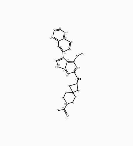 COc1nc(NC2CC3(CCN(C(C)=O)CC3)C2)nc2[nH]cc(-c3ccc4nccnc4c3)c12